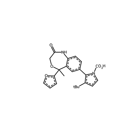 CC(C)(C)c1ccn(C(=O)O)c1-c1ccc2c(c1)C(C)(c1ccco1)OCC(=O)N2